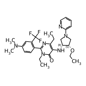 CCO[C@H]1CN(c2ccccn2)C[C@H]1Nc1c(CC)nc(-c2ccc(N(C)C)cc2C(F)(F)F)n(CC)c1=O